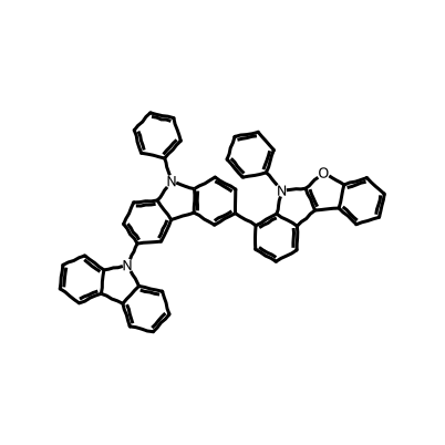 c1ccc(-n2c3ccc(-c4cccc5c6c7ccccc7oc6n(-c6ccccc6)c45)cc3c3cc(-n4c5ccccc5c5ccccc54)ccc32)cc1